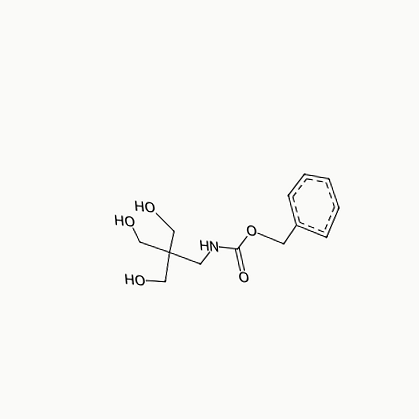 O=C(NCC(CO)(CO)CO)OCc1ccccc1